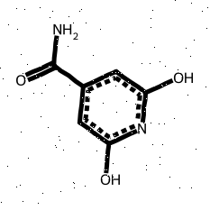 NC(=O)c1cc(O)nc(O)c1